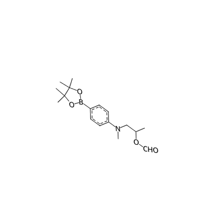 CC(CN(C)c1ccc(B2OC(C)(C)C(C)(C)O2)cc1)OC=O